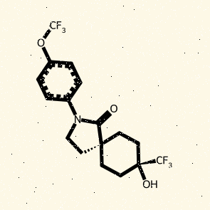 O=C1N(c2ccc(OC(F)(F)F)cc2)CC[C@]12CC[C@](O)(C(F)(F)F)CC2